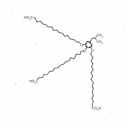 CN(C)Cc1cc(OCCCCCCCCCCCCCCCCCC(=O)O)c(OCCCCCCCCCCCCCCCCCC(=O)O)c(OCCCCCCCCCCCCCCCCCC(=O)O)c1